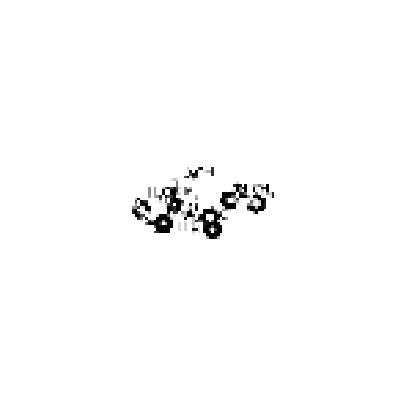 CC1CCCCN1c1nnc2ccc(O[C@@H]3CC[C@H](NC(=O)Nc4cc(C(C)(C)C)nn4-c4ccc(F)c(CN5CCOCC5)c4)c4ccccc43)cn12.O=CO